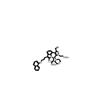 CCOC(=O)c1c(CCCOc2cccc3ccccc23)c2cccc(-c3c(CBr)nn(CCOC)c3CN3CCOCC3)c2n1CCCNC